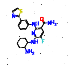 NC(=O)c1cc(F)c(N[C@@H]2CCCCC2N)nc1Nc1cccc(-c2nccs2)c1